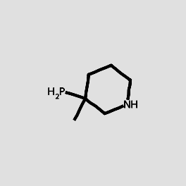 CC1(P)CCCNC1